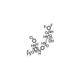 O=C(Nc1cc(F)cc(F)c1)C(=O)N[C@H](CCNC(=O)c1ccc(Nc2nc(NC3(c4ccc(Cl)cc4)CC3)nc(OCC(F)(F)F)n2)cc1)C(=O)O